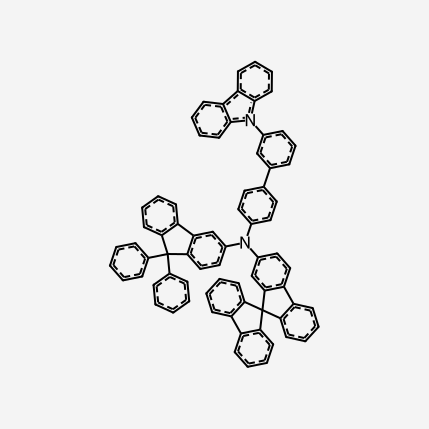 c1ccc(C2(c3ccccc3)c3ccccc3-c3cc(N(c4ccc(-c5cccc(-n6c7ccccc7c7ccccc76)c5)cc4)c4ccc5c(c4)C4(c6ccccc6-c6ccccc64)c4ccccc4-5)ccc32)cc1